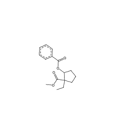 CCC1(C(=O)OC)CCCC1OC(=O)c1ccccc1